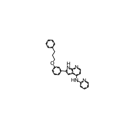 c1ccc(CCCOc2cccc(-c3cc4c(Nc5ccccn5)ccnc4[nH]3)c2)cc1